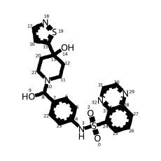 O=S(=O)(Nc1ccc(C(O)N2CCC(O)(c3ccns3)CC2)cc1)c1cccc2nccnc12